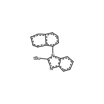 CC(C)(C)c1nc2ccccc2n1-c1cccc2ccccc12